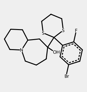 OC1(C2(c3cc(Br)ccc3F)SCCCS2)CCCN2CCCCC2C1